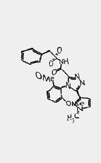 COc1cccc(OC)c1-n1c(C(=O)NS(=O)(=O)Cc2ccccc2)nnc1-c1ccn(C)n1